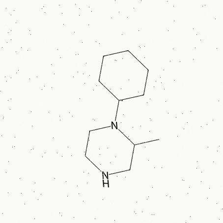 CC1CNCCN1[C]1CCCCC1